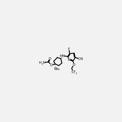 CC(C)(C)[C@]1(OC(N)=O)CC[C@H](Nc2nc(OCC(F)(F)F)c(C#N)cc2F)CC1